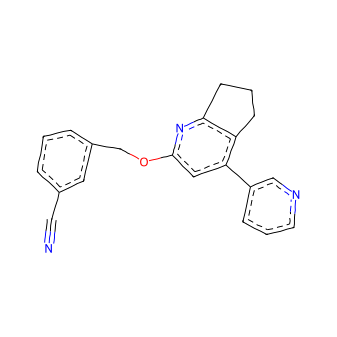 N#Cc1cccc(COc2cc(-c3cccnc3)c3c(n2)CCC3)c1